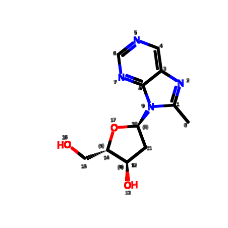 Cc1nc2cncnc2n1[C@H]1C[C@@H](O)[C@H](CO)O1